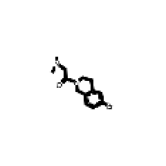 CN(C)CC(=O)N1CCc2cc(Br)ccc2C1